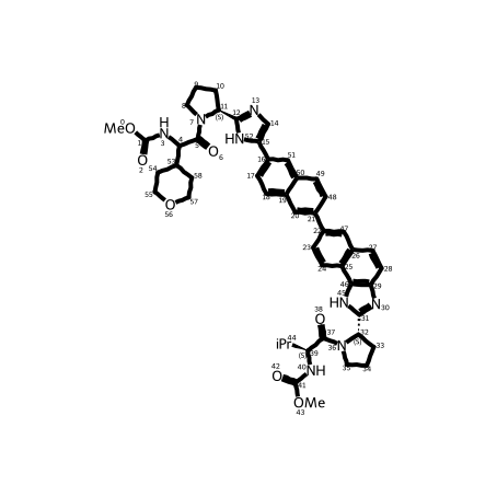 COC(=O)NC(C(=O)N1CCC[C@H]1c1ncc(-c2ccc3cc(-c4ccc5c(ccc6nc([C@@H]7CCCN7C(=O)[C@@H](NC(=O)OC)C(C)C)[nH]c65)c4)ccc3c2)[nH]1)C1CCOCC1